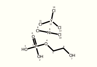 O=P(O)(O)OCCO.[Cl][Ni][Cl].[Cl][Y]([Cl])[Cl]